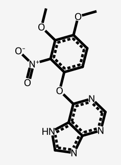 COc1ccc(Oc2ncnc3nc[nH]c23)c([N+](=O)[O-])c1OC